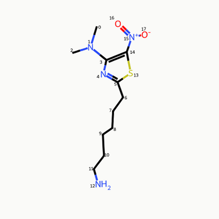 CN(C)c1nc(CCCCCCN)sc1[N+](=O)[O-]